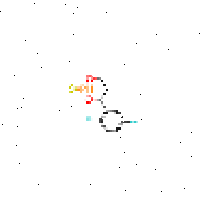 Fc1ccc(F)c(C2CCO[PH](=S)O2)c1